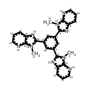 Cn1c(-c2cc(-c3nc4cccnc4n3C)cc(-c3nc4cccnc4n3C)c2)nc2cccnc21